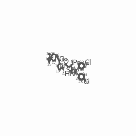 CC(C)C1=C(C(=O)N2C(C(=O)N3CCN(C)C4(CC4)C3)CC[C@H]2C)SC2N[C@@H](c3ccc(Cl)cc3)[C@@H](c3ccc(Cl)cc3)N12